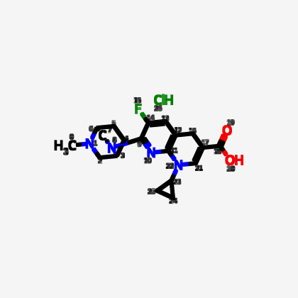 CN1CC2CCC1CN2c1nc2c(cc1F)CC(C(=O)O)=CN2C1CC1.Cl